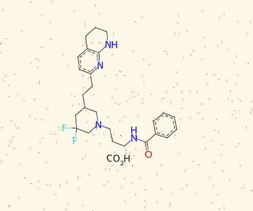 O=C(N[C@@H](CCN1CC(CCc2ccc3c(n2)NCCC3)CC(F)(F)C1)C(=O)O)c1ccccc1